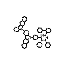 C1=CCC(c2ccccc2C2=NC(c3ccccc3-c3ccccc3)NC(c3ccc(-n4c5c(c6cc7ccccc7cc64)C=C(n4c6ccccc6c6cc7ccccc7cc64)CC5)cc3)=N2)C=C1